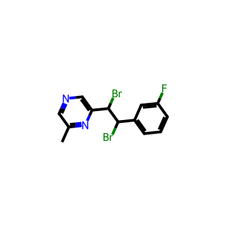 Cc1cncc(C(Br)C(Br)c2cccc(F)c2)n1